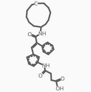 O=C(O)CCC(=O)Nc1cccc(/C=C(/C(=O)NC2CCCCCCCCCCC2)c2ccccc2)c1